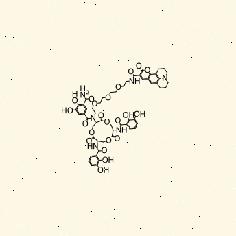 NC(=O)c1cc(C(=O)N(CCOCCOCCOCCNC(=O)c2cc3cc4c5c(c3oc2=O)CCCN5CCC4)[C@H]2COC(=O)[C@@H](NC(=O)c3cccc(O)c3O)COC(=O)[C@@H](NC(=O)c3cccc(O)c3O)COC2=O)cc(O)c1O